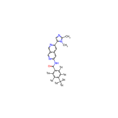 [2H]c1c([2H])c(C([2H])([2H])[2H])c([2H])c([2H])c1C(=O)Nc1cc2cc(-c3cnc(C)n3C)ncc2cn1